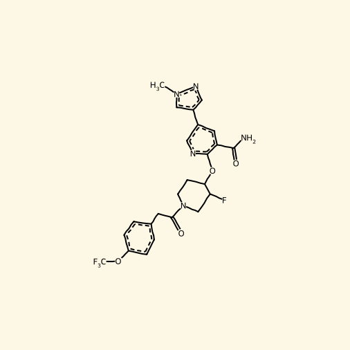 Cn1cc(-c2cnc(OC3CCN(C(=O)Cc4ccc(OC(F)(F)F)cc4)CC3F)c(C(N)=O)c2)cn1